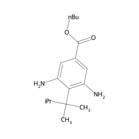 CCCCOC(=O)c1cc(N)c(C(C)(C)C(C)C)c(N)c1